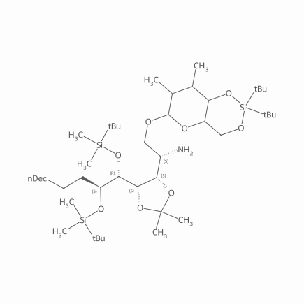 CCCCCCCCCCCC[C@H](O[Si](C)(C)C(C)(C)C)[C@H](O[Si](C)(C)C(C)(C)C)[C@H]1OC(C)(C)O[C@H]1[C@@H](N)COC1OC2CO[Si](C(C)(C)C)(C(C)(C)C)OC2C(C)C1C